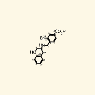 O=C(O)c1ccc(CNC(CO)Cc2ccccc2)c(Br)c1